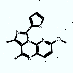 COc1ccc2nc(C)c3c(C)nc(-c4cccs4)n3c2n1